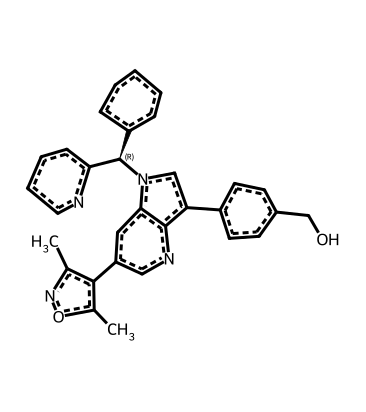 Cc1noc(C)c1-c1cnc2c(-c3ccc(CO)cc3)cn([C@H](c3ccccc3)c3ccccn3)c2c1